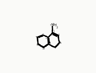 NC1=CCCC2=C1C=CCC2